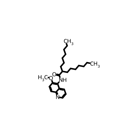 CCCCCCCC(CCCCCCC)C(=O)Nc1c(OC)ccc2ncccc12